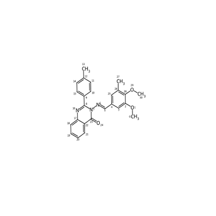 COc1cc(/C=N/n2c(-c3ccc(C)cc3)nc3ccccc3c2=O)cc(C)c1OC